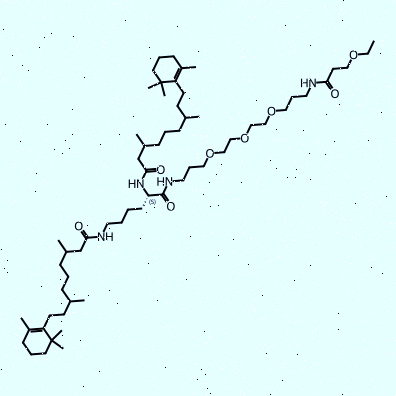 CCOCCC(=O)NCCCOCCOCCOCCCNC(=O)[C@H](CCCCNC(=O)CC(C)CCCC(C)CCC1=C(C)CCCC1(C)C)NC(=O)CC(C)CCCC(C)CCC1=C(C)CCCC1(C)C